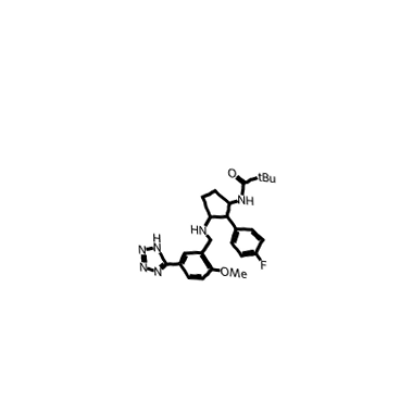 COc1ccc(-c2nnn[nH]2)cc1CNC1CCC(NC(=O)C(C)(C)C)C1c1ccc(F)cc1